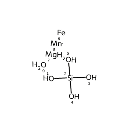 O.O[Si](O)(O)O.[Fe].[MgH2].[Mn]